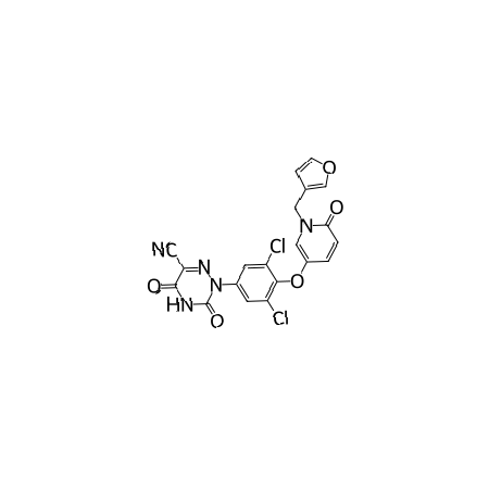 N#Cc1nn(-c2cc(Cl)c(Oc3ccc(=O)n(Cc4ccoc4)c3)c(Cl)c2)c(=O)[nH]c1=O